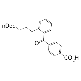 CCCCCCCCCCCCCc1ccccc1C(=O)c1ccc(C(=O)O)cc1